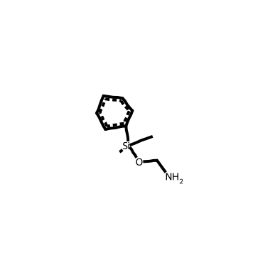 C[Si](C)(OCN)c1ccccc1